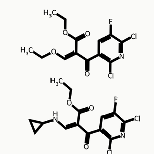 CCOC(=O)C(=CNC1CC1)C(=O)c1cc(F)c(Cl)nc1Cl.CCOC=C(C(=O)OCC)C(=O)c1cc(F)c(Cl)nc1Cl